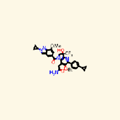 CCOc1c(CC(N)=O)cc([C@@](O)(CNC(=O)c2cc(OC)c3nn(C4CC4)cc3c2)C(F)(F)F)nc1-c1ccc(C2CC2)cc1